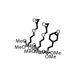 CO[Si](CCC1CCC2OC2C1)(OC)OC.CO[Si](CCCOCC1CO1)(OC)OC.CO[Si](CCCOCC1CO1)(OC)OC